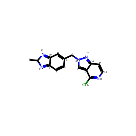 CC1N=c2ccc(Cn3cc4c(Cl)nccc4n3)cc2=N1